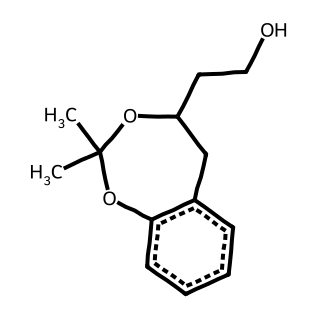 CC1(C)Oc2ccccc2CC(CCO)O1